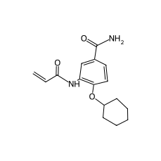 C=CC(=O)Nc1cc(C(N)=O)ccc1OC1CCCCC1